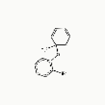 CC(C)c1ccccc1OC1(C)[CH]C=CC=C1